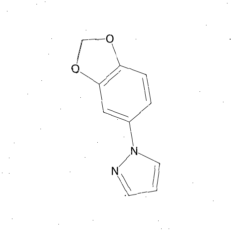 [c]1ccn(-c2ccc3c(c2)OCO3)n1